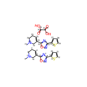 CN1CCC=C(c2nc(-c3cccs3)no2)C1.CN1CCC=C(c2nc(-c3cccs3)no2)C1.O=C(O)C(=O)O